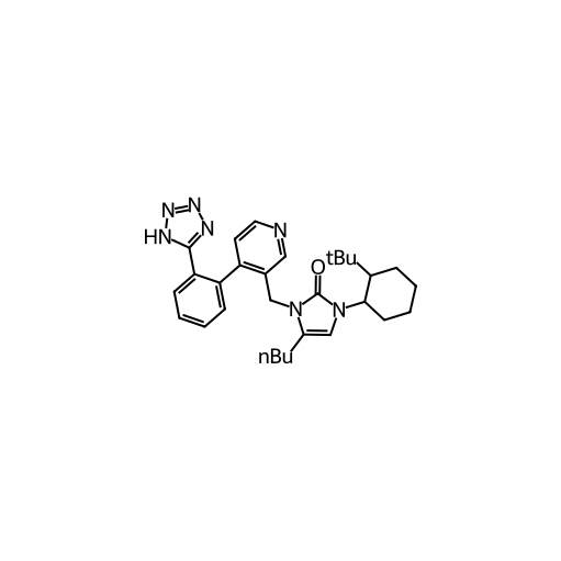 CCCCc1cn(C2CCCCC2C(C)(C)C)c(=O)n1Cc1cnccc1-c1ccccc1-c1nnn[nH]1